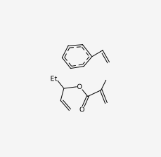 C=CC(CC)OC(=O)C(=C)C.C=Cc1ccccc1